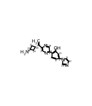 C=C(c1cnc(-c2ccc(-n3ccnc3)cc2O)cn1)[C@H]1C[C@@H](N)C1